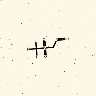 N=NCS(=O)(=O)C(F)(F)F